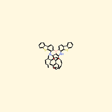 C=C\C=C/C(=C/N1c2cc(-c3ccccc3)cc3c2B(c2ccc4c(sc5ccccc54)c2N3)c2ccc3c(sc4ccccc43)c21)C1=C/C=C\C=C/C=C\C=C\C=C\1